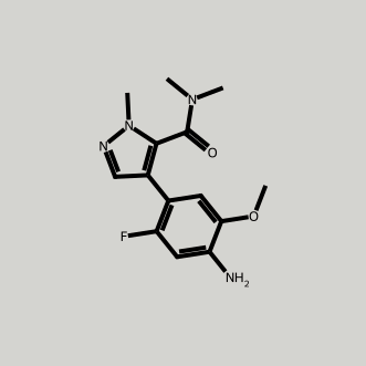 COc1cc(-c2cnn(C)c2C(=O)N(C)C)c(F)cc1N